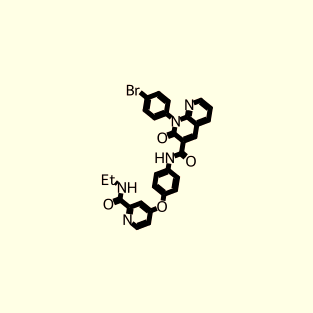 CCNC(=O)c1cc(Oc2ccc(NC(=O)c3cc4cccnc4n(-c4ccc(Br)cc4)c3=O)cc2)ccn1